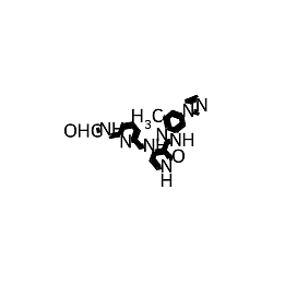 Cc1cc(-n2ccnc2)cc2[nH]c(-c3c(NCc4cccc(CNC=O)n4)cc[nH]c3=O)nc12